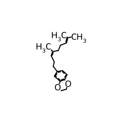 CC(C)=CCCC(C)=CCCc1ccc2c(c1)OCCO2